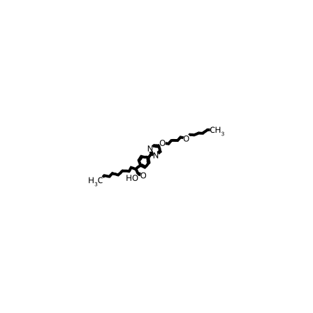 CCCCCCCCC(C(=O)O)c1ccc(-c2ncc(OCCCCOCCCCCC)cn2)cc1